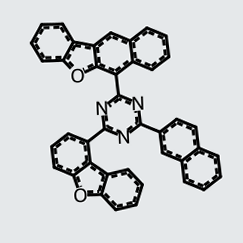 c1ccc2cc(-c3nc(-c4c5ccccc5cc5c4oc4ccccc45)nc(-c4cccc5oc6ccccc6c45)n3)ccc2c1